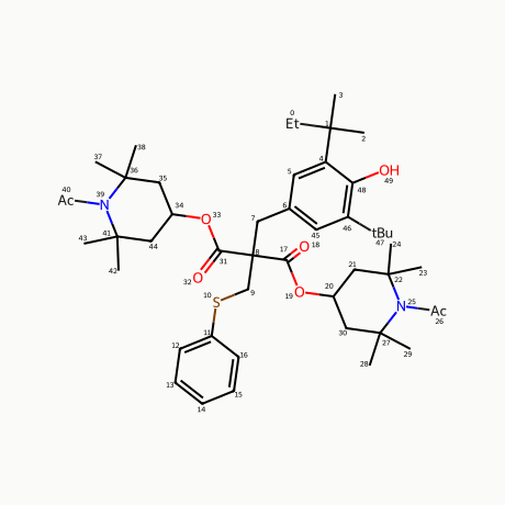 CCC(C)(C)c1cc(CC(CSc2ccccc2)(C(=O)OC2CC(C)(C)N(C(C)=O)C(C)(C)C2)C(=O)OC2CC(C)(C)N(C(C)=O)C(C)(C)C2)cc(C(C)(C)C)c1O